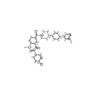 COc1ccc(C(=O)N2CCC(c3ccc(-c4cnn(C)c4)cc3)CC2)cc1NC(=O)c1ccc(Cl)nc1